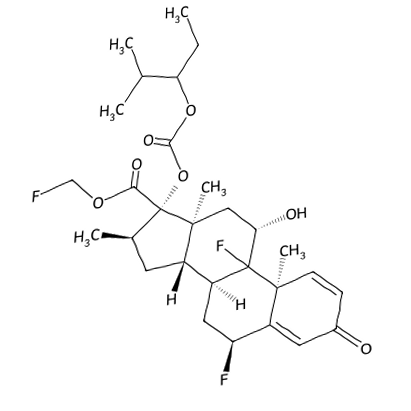 CCC(OC(=O)O[C@@]1(C(=O)OCF)[C@H](C)C[C@H]2[C@@H]3C[C@H](F)C4=CC(=O)C=C[C@]4(C)C3(F)[C@@H](O)C[C@@]21C)C(C)C